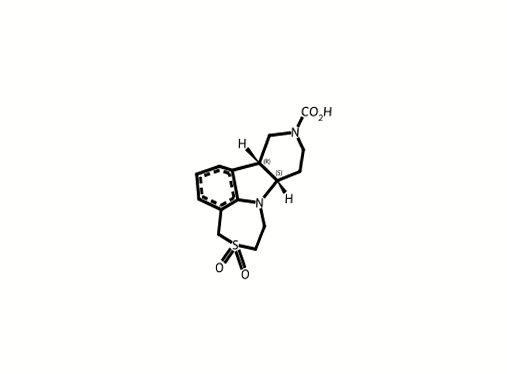 O=C(O)N1CC[C@H]2[C@@H](C1)c1cccc3c1N2CCS(=O)(=O)C3